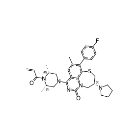 C=CC(=O)N1[C@H](C)CN(c2nc(=O)n3c4c(c(-c5ccc(F)cc5)c(C)cc24)SC[C@H](N2CCCC2)C3)C[C@@H]1C